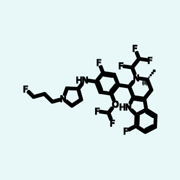 C[C@@H]1Cc2c([nH]c3c(F)cccc23)C(c2cc(F)c(NC3CCN(CCCF)C3)cc2OC(F)F)N1C(F)C(F)F